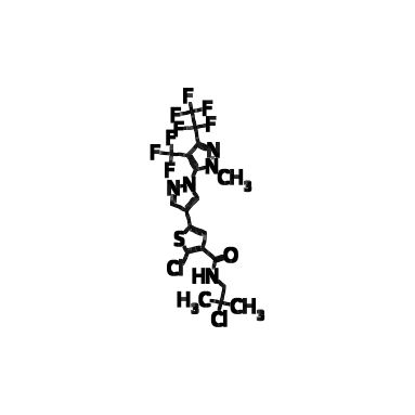 Cn1nc(C(F)(F)C(F)(F)F)c(C(F)(F)F)c1-n1cc(-c2cc(C(=O)NCC(C)(C)Cl)c(Cl)s2)cn1